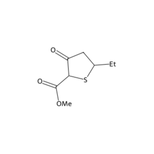 CCC1CC(=O)C(C(=O)OC)S1